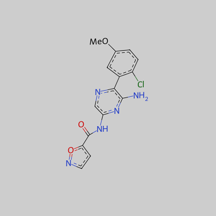 COc1ccc(Cl)c(-c2ncc(NC(=O)c3ccno3)nc2N)c1